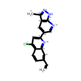 C=Cc1ccc2c(Cl)cc(-c3cnc4[nH]nc(C)c4c3)nc2c1